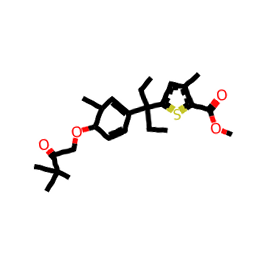 CCC(CC)(C1=CC(C)C(OCC(=O)C(C)(C)C)C=C1)c1cc(C)c(C(=O)OC)s1